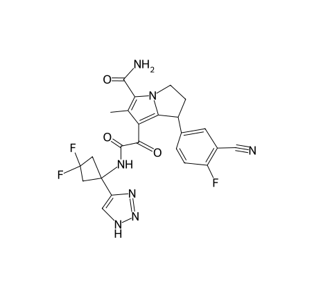 Cc1c(C(=O)C(=O)NC2(c3c[nH]nn3)CC(F)(F)C2)c2n(c1C(N)=O)CCC2c1ccc(F)c(C#N)c1